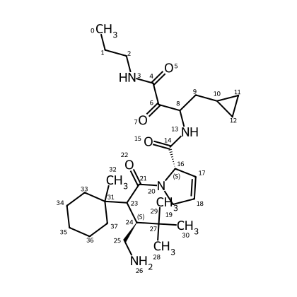 CCCNC(=O)C(=O)C(CC1CC1)NC(=O)[C@@H]1C=CCN1C(=O)C([C@H](CN)C(C)(C)C)C1(C)CCCCC1